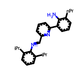 CCCc1cccc(-c2cccc(/C=N/c3c(C(C)C)cccc3C(C)C)n2)c1N